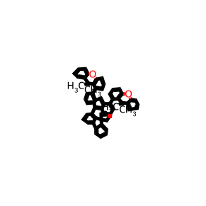 CC1(C)c2ccccc2Oc2cccc(-c3cccc4c(-c5cccc6c5C5(CCCC5)c5ccccc5-6)c5cccc(-c6cccc7c6C(C)(C)c6ccccc6O7)c5cc34)c21